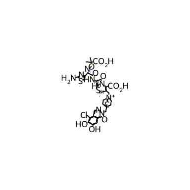 C[C@@H]1S[C@@H]2[C@H](NC(=O)/C(=N\OC(C)(C)C(=O)O)c3csc(N)n3)C(=O)N2C(C(=O)O)=C1C[N+]12CCC(Cn3ncc4c(Cl)c(O)c(O)cc4c3=O)(CC1)CC2